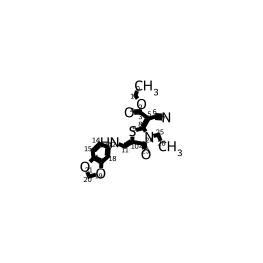 CCOC(=O)C(C#N)=c1sc(=CNc2ccc3c(c2)OCO3)c(=O)n1CC